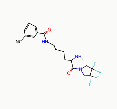 N#Cc1cccc(C(=O)NCCCCC(N)C(=O)N2CC(F)(F)C(F)(F)C2)c1